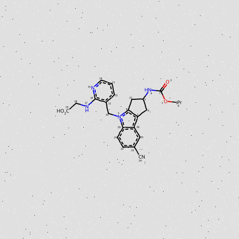 CC(C)OC(=O)NC1Cc2c(n(Cc3cccnc3NCC(=O)O)c3ccc(C#N)cc23)C1